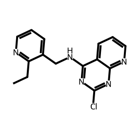 CCc1ncccc1CNc1nc(Cl)nc2ncccc12